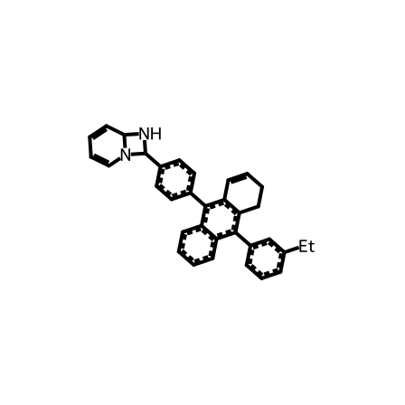 CCc1cccc(-c2c3c(c(-c4ccc(C5NC6C=CC=CN65)cc4)c4ccccc24)C=CCC3)c1